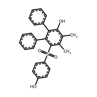 Cc1c(C)c(S(=O)(=O)c2ccc(O)cc2)c(-c2ccccc2)c(-c2ccccc2)c1O